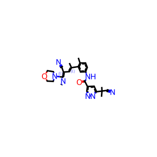 C=N/C(=C(C#N)\C=C(/C)c1cc(NC(=O)c2cnnc(C(C)(C)C#N)c2)ccc1C)N1CCOCC1